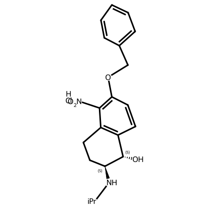 CC(C)N[C@H]1CCc2c(ccc(OCc3ccccc3)c2[N+](=O)[O-])[C@@H]1O.Cl